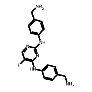 NCc1ccc(Nc2ncc(F)c(Nc3ccc(CN)cc3)n2)cc1